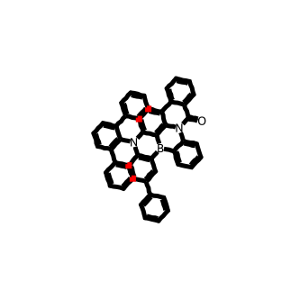 O=c1c2ccccc2c2ccc3c4c2n1-c1ccccc1B4c1cc(-c2ccccc2)ccc1N3c1c(-c2ccccc2)cccc1-c1ccccc1